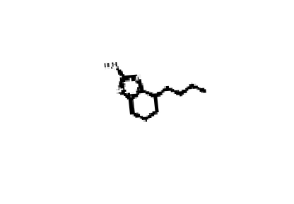 CCCCC1CCCc2sc(N)nc21